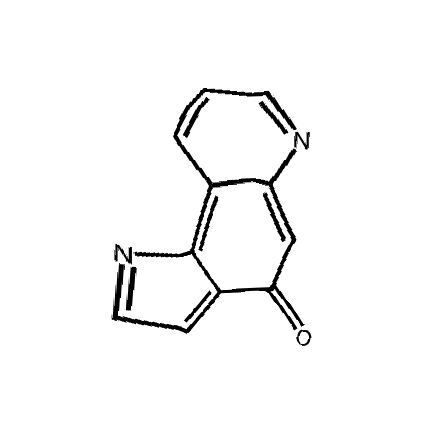 O=C1C=c2ncccc2=C2N=CC=C12